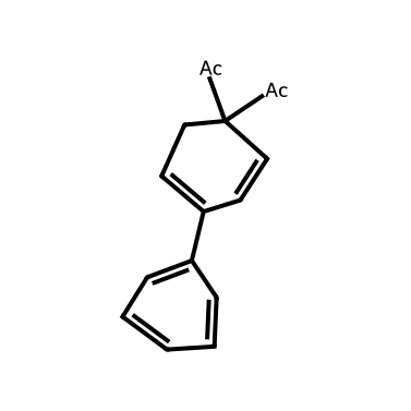 CC(=O)C1(C(C)=O)C=CC(c2ccccc2)=CC1